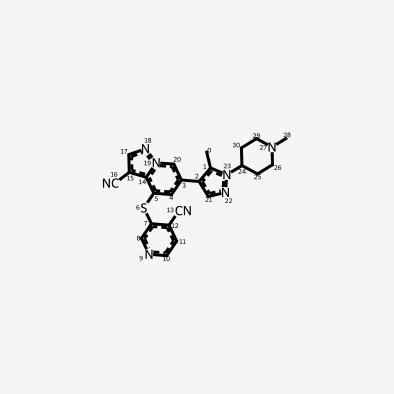 Cc1c(-c2cc(Sc3cnccc3C#N)c3c(C#N)cnn3c2)cnn1C1CCN(C)CC1